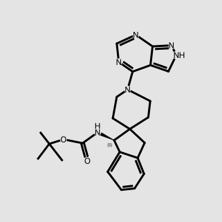 CC(C)(C)OC(=O)N[C@@H]1c2ccccc2CC12CCN(c1ncnc3n[nH]cc13)CC2